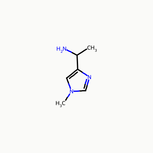 CC(N)c1cn(C)cn1